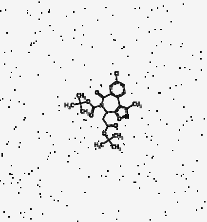 Cc1noc2c1-c1ccc(Cl)cc1C(=O)N(C(=O)OC(C)(C)C)C2CC(=O)OC(C)(C)C